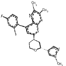 Cc1nc2nc([C@@H]3CCO[C@@H](c4cnn(C)c4)C3)cc(-c3ccc(F)cc3F)c2nc1C